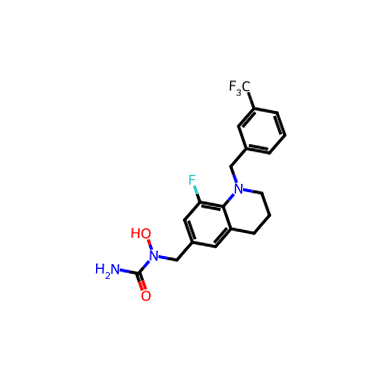 NC(=O)N(O)Cc1cc(F)c2c(c1)CCCN2Cc1cccc(C(F)(F)F)c1